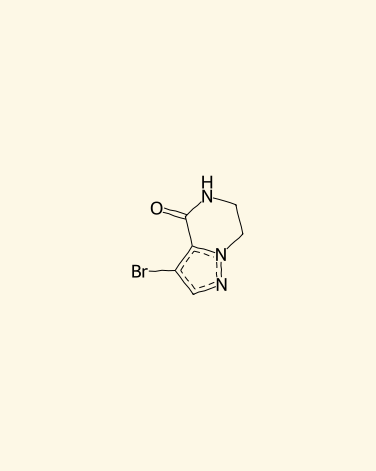 O=C1NCCn2ncc(Br)c21